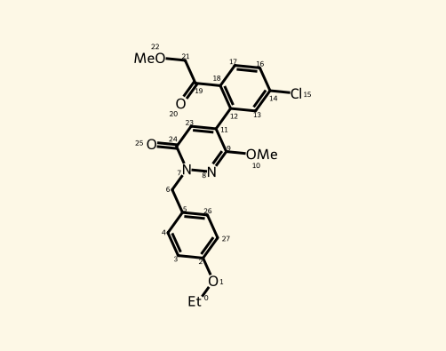 CCOc1ccc(Cn2nc(OC)c(-c3cc(Cl)ccc3C(=O)COC)cc2=O)cc1